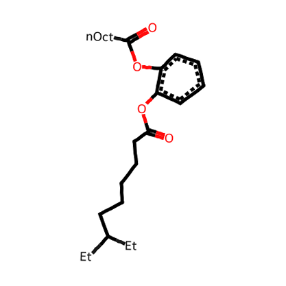 CCCCCCCCC(=O)Oc1ccccc1OC(=O)CCCCCC(CC)CC